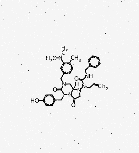 C=CCN(C(=O)NCc1ccccc1)N1CC(=O)N2[C@@H](Cc3ccc(O)cc3)C(=O)N(Cc3ccc(C)c(N(C)C)c3)C[C@@H]21